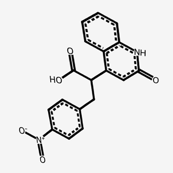 O=C(O)C(Cc1ccc([N+](=O)[O-])cc1)c1cc(=O)[nH]c2ccccc12